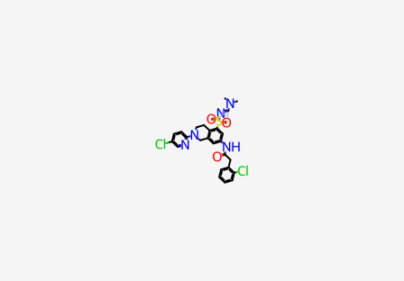 CN(C)/C=N/S(=O)(=O)c1cc(NC(=O)Cc2ccccc2Cl)cc2c1CCN(c1ccc(Cl)cn1)C2